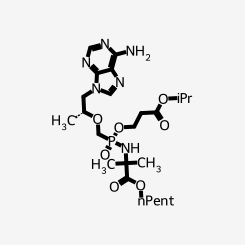 CCCCCOC(=O)C(C)(C)NP(=O)(CO[C@H](C)Cn1cnc2c(N)ncnc21)OCCC(=O)OC(C)C